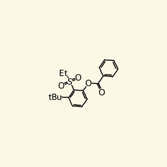 CCS(=O)(=O)c1c(OC(=O)c2ccccc2)cccc1C(C)(C)C